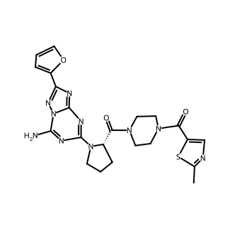 Cc1ncc(C(=O)N2CCN(C(=O)[C@@H]3CCCN3c3nc(N)n4nc(-c5ccco5)nc4n3)CC2)s1